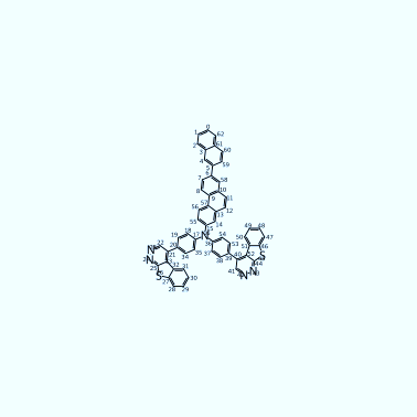 c1ccc2cc(-c3ccc4c(ccc5cc(N(c6ccc(-c7cnnc8sc9ccccc9c78)cc6)c6ccc(-c7cnnc8sc9ccccc9c78)cc6)ccc54)c3)ccc2c1